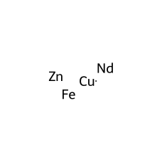 [Cu].[Fe].[Nd].[Zn]